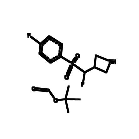 CC(C)(C)OC=O.O=S(=O)(c1ccc(F)cc1)C(F)C1CNC1